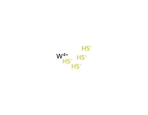 [SH-].[SH-].[SH-].[SH-].[W+4]